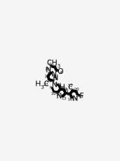 Cc1cc(=O)n2nc(N3CCc4ncc(-c5cnc(F)cc5C)cc4C3)c(C)cc2n1